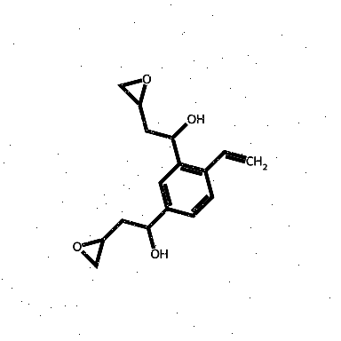 C=Cc1ccc(C(O)CC2CO2)cc1C(O)CC1CO1